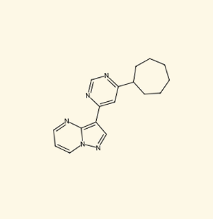 c1cnc2c(-c3cc(C4CCCCCC4)ncn3)cnn2c1